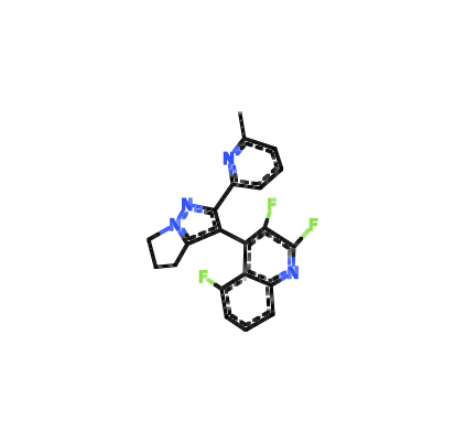 Cc1cccc(-c2nn3c(c2-c2c(F)c(F)nc4cccc(F)c24)CCC3)n1